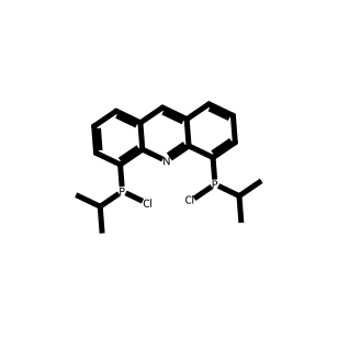 CC(C)P(Cl)c1cccc2cc3cccc(P(Cl)C(C)C)c3nc12